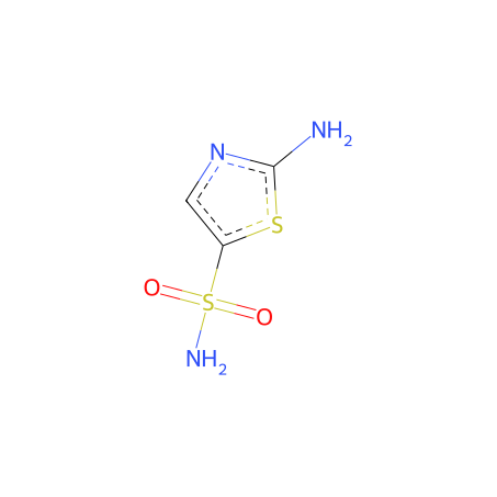 Nc1ncc(S(N)(=O)=O)s1